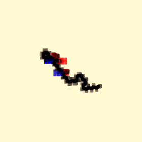 CCCCC/C=C\C/C=C\C/C=C\C/C=C\C/C=C\CCC(=O)NCCCCC(NC(=O)c1ccccc1)C(=O)O